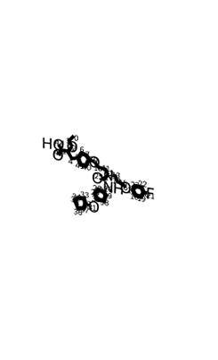 CCOC(Cc1ccc(OCCN(CCCOc2ccc(F)cc2)C(=O)Nc2ccc(Oc3ccccc3)cc2)cc1)C(=O)O